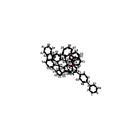 c1ccc(-c2ccc(-c3cc(-c4ccccc4)nc(-c4cccc5c4C4(c6ccccc6C6(c7ccccc7-c7ccccc76)c6ccccc64)c4c-5ccc5c4oc4ccccc45)n3)cc2)cc1